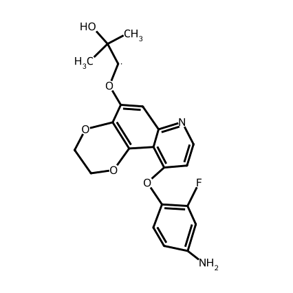 CC(C)(O)[CH]Oc1cc2nccc(Oc3ccc(N)cc3F)c2c2c1OCCO2